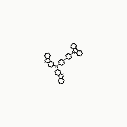 c1ccc2c(c1)sc1cc(N(c3ccc(-c4ccc(-n5c6ccccc6c6ccccc65)cc4)cc3)c3ccc4sc5ccccc5c4c3)ccc12